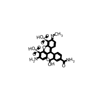 C/N=c1\ccc2c(-c3ccc(C(N)=O)cc3C(=O)O)c3ccc(N)c(S(=O)(=O)O)c3oc-2c1S(=O)(=O)O